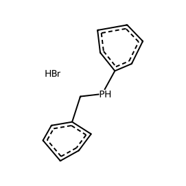 Br.c1ccc(CPc2ccccc2)cc1